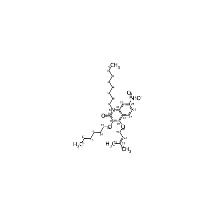 CCCCCCCCn1c(=O)c(OCCCCCC)c(OCC=C(C)C)c2ccc([N+](=O)[O-])cc21